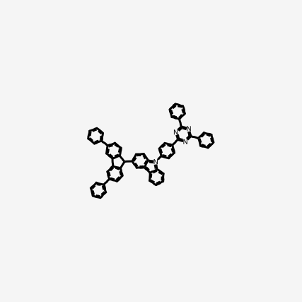 c1ccc(-c2ccc3c(c2)-c2cc(-c4ccccc4)ccc2C3c2ccc3c(c2)c2ccccc2n3-c2ccc(-c3nc(-c4ccccc4)nc(-c4ccccc4)n3)cc2)cc1